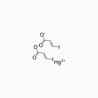 O=C([O-])/C=C/I.O=C([O-])/C=C/I.[Hg+2]